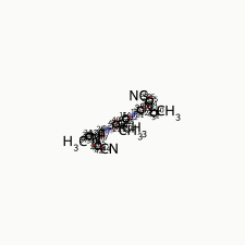 Cc1cccc(N(c2ccc(/C=C/c3ccc4c(c3)C(C)(C)c3cc(/C=C/c5ccc(N(c6cccc(C)c6)c6cccc(C#N)c6)cc5)ccc3-4)cc2)c2cccc(C#N)c2)c1